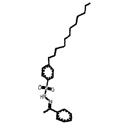 CCCCCCCCCCCCc1ccc(S(=O)(=O)N/N=C(\C)c2ccccc2)cc1